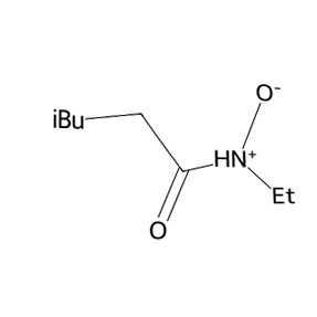 CCC(C)CC(=O)[NH+]([O-])CC